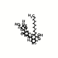 CCCCCCCCCCCC(C(=O)O)c1ccccc1C(=O)Nc1ccn([C@@H]2O[C@H](CO)[C@@H](O)C2(F)F)c(=O)n1